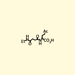 CCNC(=O)CCC(=O)N[C@@H](CCC(C)=O)C(=O)O